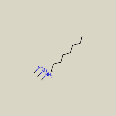 CN.CN.CN.[CH2]CCCCCCC